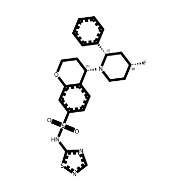 O=S(=O)(Nc1ncns1)c1ccc2c(c1)OCC[C@@H]2N1CC[C@@H](F)C[C@H]1c1ccccc1